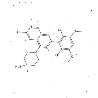 COc1cc(OC)c(Cl)c(-c2cc3cnc(Cl)cc3c(N3CCC(C)(N)CC3)n2)c1Cl